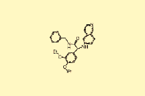 CCOc1cc(C(Nc2ccc3cnccc3c2)C(=O)NCc2ccccc2)ccc1OC(C)C